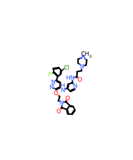 CN1CCN(CCC(=O)Nc2cc(Nc3cc(-c4cc(Cl)ccc4F)nnc3OCCN3C(=O)c4ccccc4C3=O)ccn2)CC1